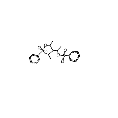 CCC(C(C)OS(=O)(=O)c1ccccc1)C(C)OS(=O)(=O)c1ccccc1